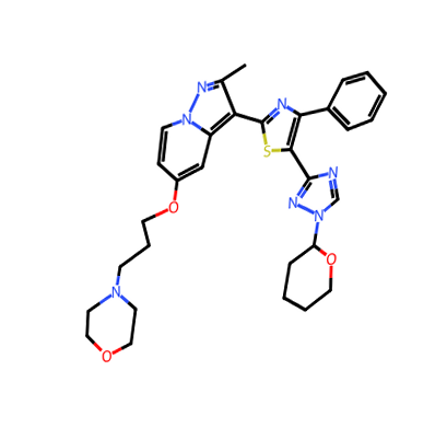 Cc1nn2ccc(OCCCN3CCOCC3)cc2c1-c1nc(-c2ccccc2)c(-c2ncn(C3CCCCO3)n2)s1